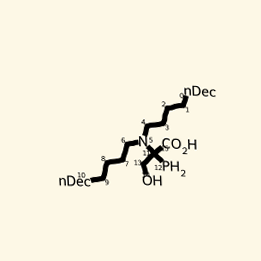 CCCCCCCCCCCCCCN(CCCCCCCCCCCCCC)C(P)(CO)C(=O)O